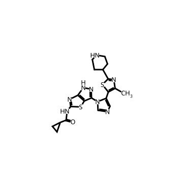 Cc1nc(C2CCNCC2)sc1-c1cncn1-c1n[nH]c2nc(NC(=O)C3CC3)sc12